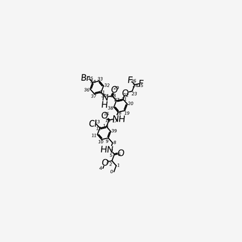 CCC(OC)C(=O)NCc1ccc(Cl)c(C(=O)Nc2ccc(OCC(F)F)c(C(=O)Nc3ccc(Br)cc3)c2)c1